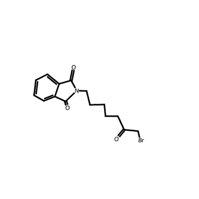 O=C(CBr)CCCCCN1C(=O)c2ccccc2C1=O